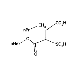 CCCC.CCCCCCOC(=O)C(CC(=O)O)S(=O)(=O)O